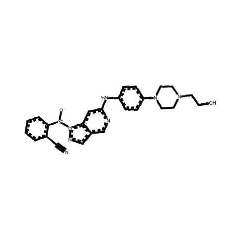 N#Cc1ccccc1[S+]([O-])n1ncc2cnc(Nc3ccc(N4CCN(CCO)CC4)cc3)cc21